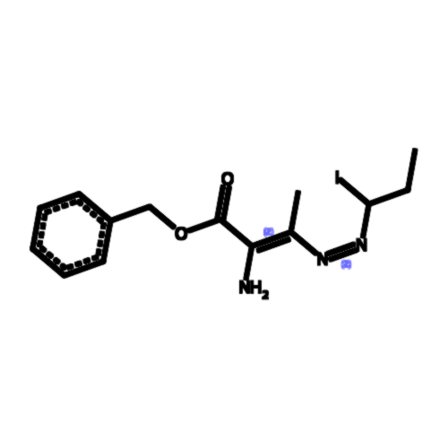 CCC(I)/N=N\C(C)=C(/N)C(=O)OCc1ccccc1